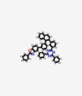 c1ccc(-c2nc(-c3ccccc3)nc(-c3cccc(-c4ccc5ccccc5c4-c4cccc(-c5ccc6oc(-c7ccccc7)nc6c5)c4)c3)n2)cc1